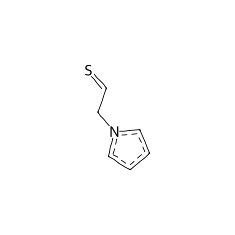 S=CCn1cccc1